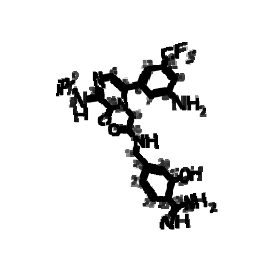 CC(C)Nc1ncc(-c2cc(N)cc(C(F)(F)F)c2)n(CC(=O)NCc2ccc(C(=N)N)c(O)c2)c1=O